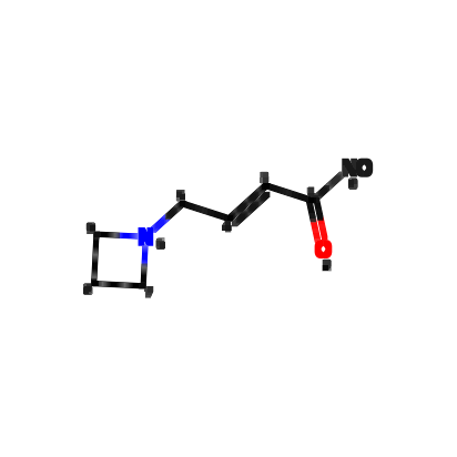 O=NC(=O)/C=C/CN1CCC1